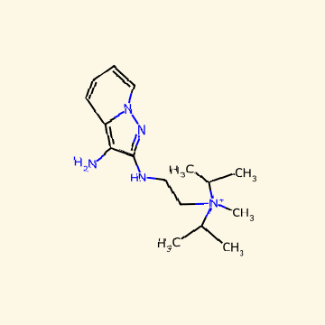 CC(C)[N+](C)(CCNc1nn2ccccc2c1N)C(C)C